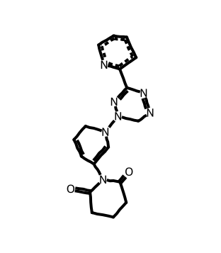 O=C1CCCC(=O)N1C1=CN(N2CN=NC(c3ccccn3)=N2)CC=C1